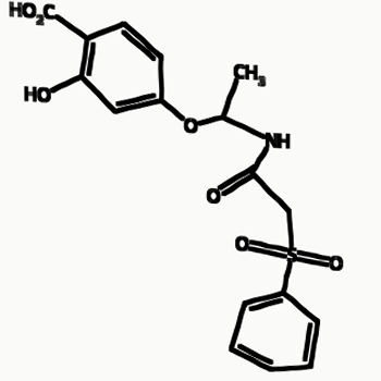 CC(NC(=O)CS(=O)(=O)c1ccccc1)Oc1ccc(C(=O)O)c(O)c1